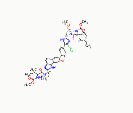 C=C(/C=C\C=C/C)[C@@H](NC(=O)OC)C(=O)N1C[C@@H](COC)C[C@H]1c1nc(Cl)c(-c2ccc3c(c2)COc2cc4c(ccc5nc([C@@H]6CC[C@H](C)N6C(=O)[C@@H](NC(=O)OC)C(C)C)[nH]c54)cc2-3)[nH]1